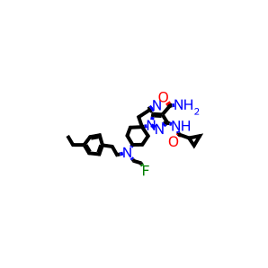 CCc1ccc(CCN(CCF)C2CCC(CC#N)(n3cc(C(N)=O)c(NC(=O)C4CC4)n3)CC2)cc1